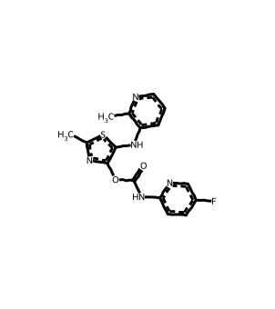 Cc1nc(OC(=O)Nc2ccc(F)cn2)c(Nc2cccnc2C)s1